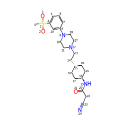 CS(=O)(=O)c1cccc(N2CCN(CC[C@H]3CC[C@H](NC(=O)CC#N)CC3)CC2)c1